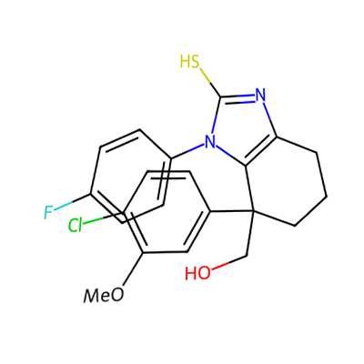 COc1cc(C2(CO)CCCc3nc(S)n(-c4ccc(F)cc4)c32)ccc1Cl